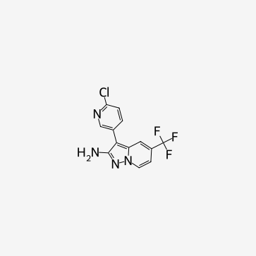 Nc1nn2ccc(C(F)(F)F)cc2c1-c1ccc(Cl)nc1